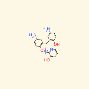 Nc1ccc(O)c(Cc2cc(N)ccc2O)c1.Nc1ncccc1O